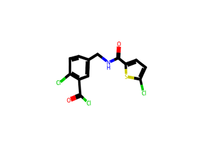 O=C(NCc1ccc(Cl)c(C(=O)Cl)c1)c1ccc(Cl)s1